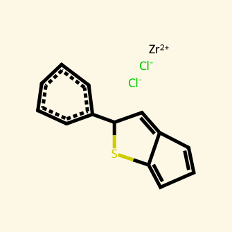 C1=CC2=CC(c3ccccc3)SC2=C1.[Cl-].[Cl-].[Zr+2]